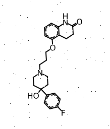 O=C1CCc2c(cccc2OCCCN2CCC(O)(c3ccc(F)cc3)CC2)N1